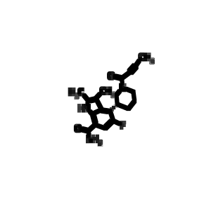 CC#CC(=O)N1CCC[C@H](c2c(F)cc(C(N)=O)c3[nH]c(C)c(C)c23)C1